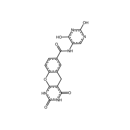 O=C(Nc1cnc(O)nc1O)c1ccc2c(c1)Cc1c([nH]c(=O)[nH]c1=O)O2